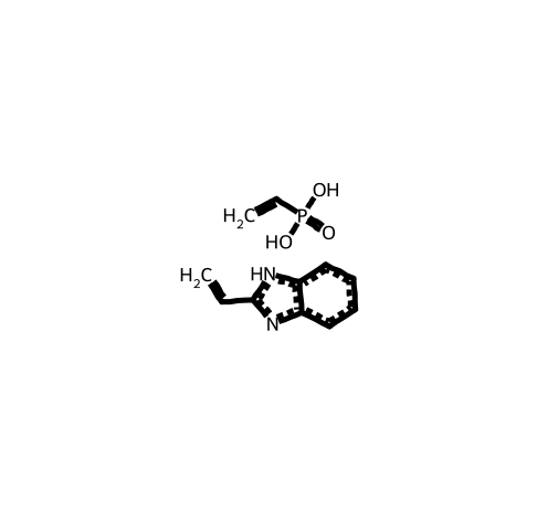 C=CP(=O)(O)O.C=Cc1nc2ccccc2[nH]1